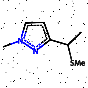 CSC(C)c1ccn(C)n1